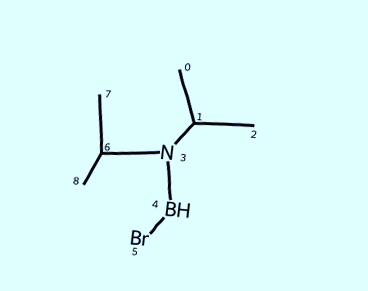 CC(C)N(BBr)C(C)C